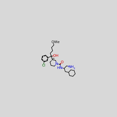 COCCCC[C@@](O)(c1cccc(Cl)c1)[C@@H]1CCCN(C(=O)NC(CN)CC2CCCCC2)C1